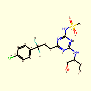 CC(C)CC(CO)Nc1nc(CCC(F)(F)c2ccc(Cl)cc2)nc(NS(C)(=O)=O)n1